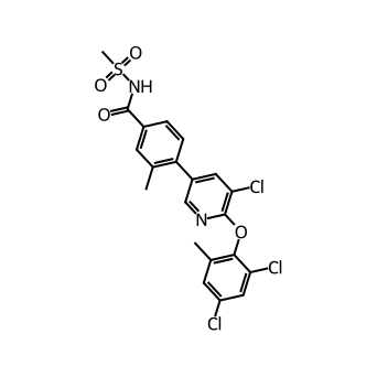 Cc1cc(C(=O)NS(C)(=O)=O)ccc1-c1cnc(Oc2c(C)cc(Cl)cc2Cl)c(Cl)c1